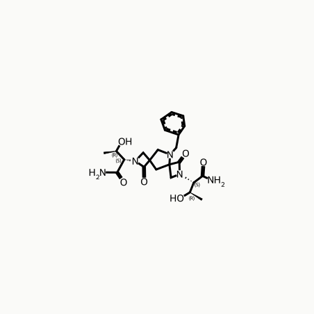 C[C@@H](O)[C@@H](C(N)=O)N1CC2(CN(Cc3ccccc3)C3(CN([C@H](C(N)=O)[C@@H](C)O)C3=O)C2)C1=O